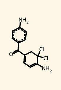 NC1=CC=C(C(=O)c2ccc(N)cc2)CC1(Cl)Cl